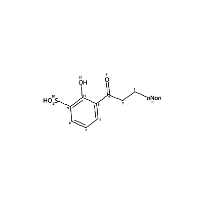 CCCCCCCCCCCC(=O)c1cccc(S(=O)(=O)O)c1O